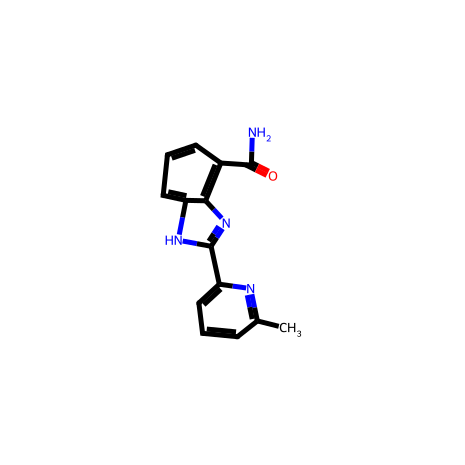 Cc1cccc(-c2nc3c(C(N)=O)cccc3[nH]2)n1